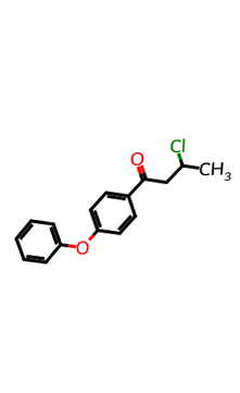 CC(Cl)CC(=O)c1ccc(Oc2ccccc2)cc1